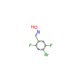 ON=Cc1cc(F)c(Br)cc1F